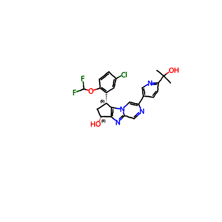 CC(C)(O)c1ccc(-c2cn3c4c(nc3cn2)[C@H](O)C[C@@H]4c2cc(Cl)ccc2OC(F)F)cn1